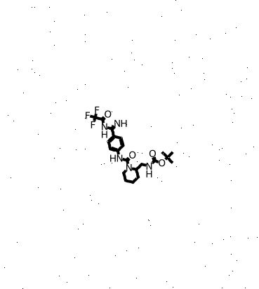 CC(C)(C)OC(=O)NCC1CCCCN1C(=O)Nc1ccc(C(=N)NC(=O)C(F)(F)F)cc1